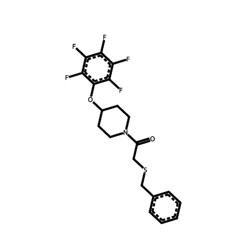 O=C(CSCc1ccccc1)N1CCC(Oc2c(F)c(F)c(F)c(F)c2F)CC1